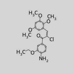 CCOc1cc(C(=O)/C(Cl)=C\c2cc(OC)cc(OC)c2OC)ccc1N